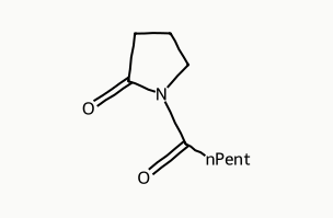 CCCCCC(=O)N1CCCC1=O